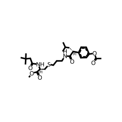 COC(=O)[C@H](CSCCCNC(=O)[C@H](CC(C)C)c1ccc(OC(C)=O)cc1)NC(=O)CC(C)(C)C